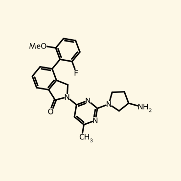 COc1cccc(F)c1-c1cccc2c1CN(c1cc(C)nc(N3CCC(N)C3)n1)C2=O